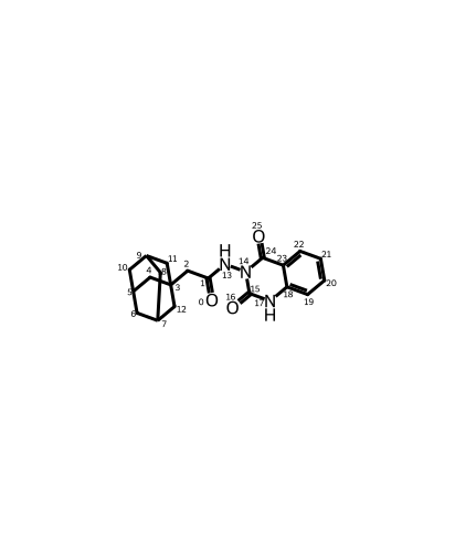 O=C(CC12CC3CC(CC(C3)C1)C2)Nn1c(=O)[nH]c2ccccc2c1=O